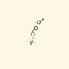 Cc1onc(NC(=O)N2CCC(=Cc3cccc(Oc4ccc(C5CC5)nc4)c3)C(C)C2)c1C